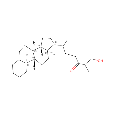 CC(CO)C(=O)CCC(C)[C@H]1CC[C@H]2[C@@H]3CCC4CCCC[C@]4(C)[C@H]3CC[C@]12C